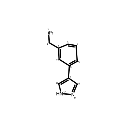 CC(C)Cc1cccc(-c2cn[nH]c2)c1